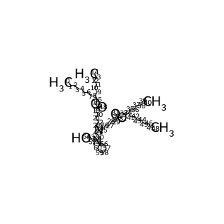 CCCCCCCCC(CCCCCC)COC(=O)CCCCCN(CCCCCC(=O)OCC(CCCCCC)CCCCCCCC)CCN(CCO)C1CCCCC1